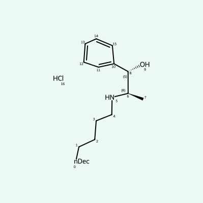 CCCCCCCCCCCCCCN[C@H](C)[C@@H](O)c1ccccc1.Cl